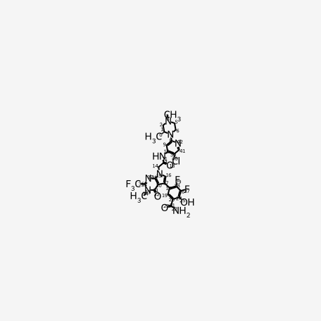 C[C@H]1CN(C)CCN1c1cc(NC(=O)Cn2cc(-c3cc(C(N)=O)c(O)c(F)c3F)c3c(=O)n(C)c(C(F)(F)F)nc32)c(Cl)cn1